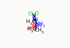 CC(C)CC(NC(=O)C(N)CCc1nc2cc(N(CCCl)CCCl)ccc2n1C)C(=O)O